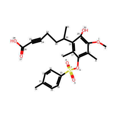 COc1c(C)c(OS(=O)(=O)c2ccc(C)cc2)c(C)c(C(C)CCC#CC(=O)O)c1O